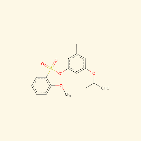 Cc1cc(OC(C)C=O)cc(OS(=O)(=O)c2ccccc2OC(F)(F)F)c1